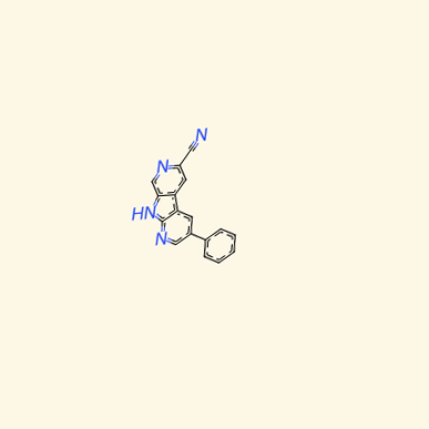 N#Cc1cc2c(cn1)[nH]c1ncc(-c3ccccc3)cc12